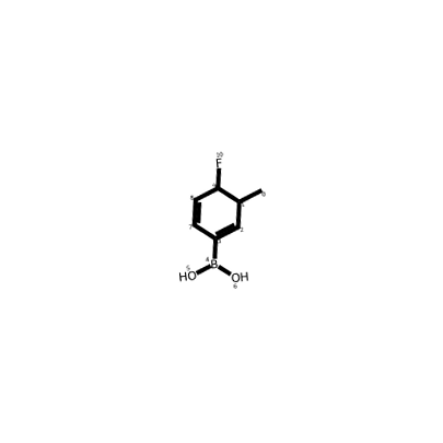 CC1C=C(B(O)O)C=CC1F